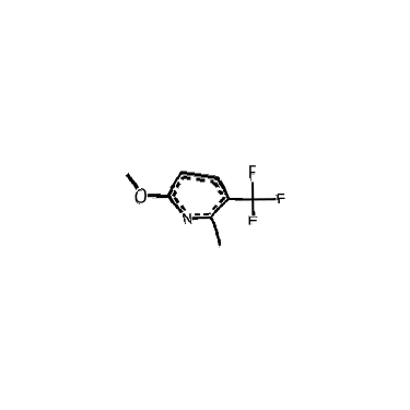 COc1ccc(C(F)(F)F)c(C)n1